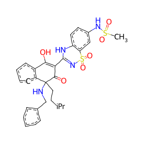 CC(C)CCC1(NCc2ccccc2)C(=O)C(C2=NS(=O)(=O)c3cc(NS(C)(=O)=O)ccc3N2)=C(O)c2ccccc21